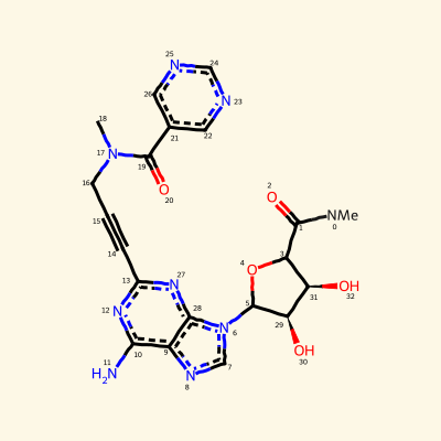 CNC(=O)C1OC(n2cnc3c(N)nc(C#CCN(C)C(=O)c4cncnc4)nc32)[C@H](O)[C@@H]1O